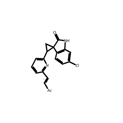 CC(=O)/C=C/c1cccc(C2CC23C(=O)Nc2cc(Cl)ccc23)n1